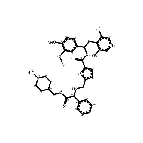 CCOc1cc(C(Cc2c(Cl)cncc2Cl)OC(=O)c2ccc(CNC(C(=O)OCC3CCN(C)CC3)c3ccccc3)s2)ccc1OC